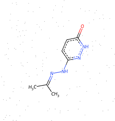 CC(C)=NNc1ccc(=O)[nH]n1